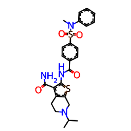 CC(C)N1CCc2c(sc(NC(=O)c3ccc(S(=O)(=O)N(C)c4ccccc4)cc3)c2C(N)=O)C1